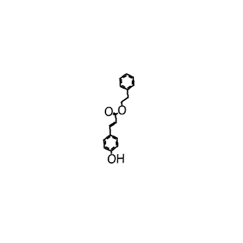 O=C(/C=C/c1ccc(O)cc1)OCCc1ccccc1